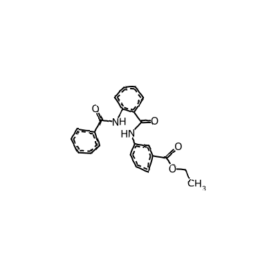 CCOC(=O)c1cccc(NC(=O)c2ccccc2NC(=O)c2ccccc2)c1